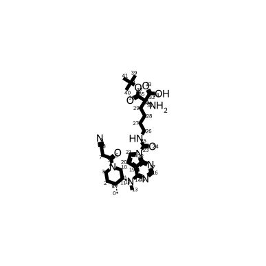 C[C@@H]1CCN(C(=O)CC#N)C[C@@H]1N(C)c1ncnc2c1ccn2C(=O)NCCCC[C@](N)(C(=O)O)C(=O)OC(C)(C)C